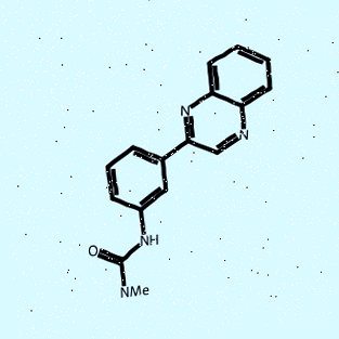 CNC(=O)Nc1cccc(-c2cnc3ccccc3n2)c1